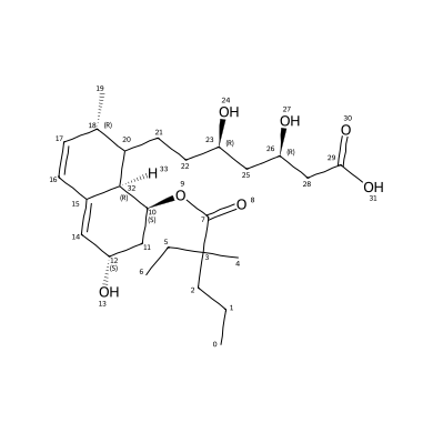 CCCC(C)(CC)C(=O)O[C@H]1C[C@H](O)C=C2C=C[C@H](C)C(CC[C@@H](O)C[C@@H](O)CC(=O)O)[C@H]21